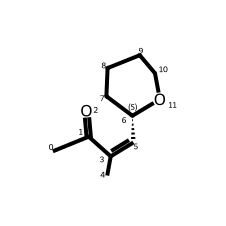 CC(=O)C(C)=C[C@@H]1CCCCO1